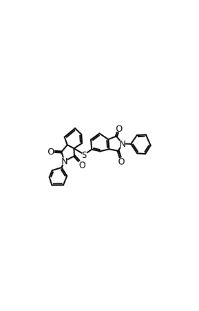 O=C1c2ccc(SC34C=CC=CC3C(=O)N(c3ccccc3)C4=O)cc2C(=O)N1c1ccccc1